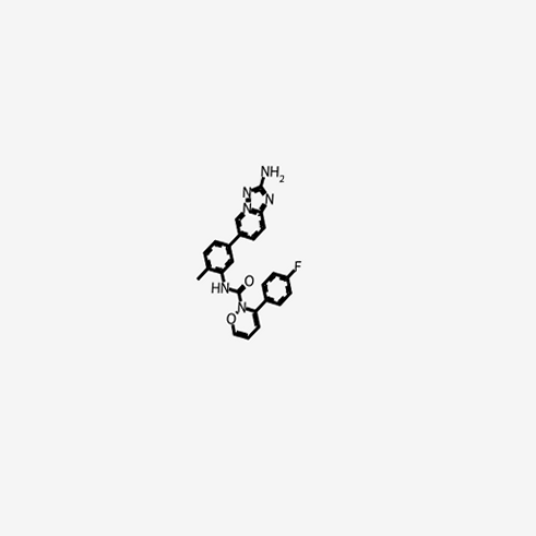 Cc1ccc(-c2ccc3nc(N)nn3c2)cc1NC(=O)N1OC=CC=C1c1ccc(F)cc1